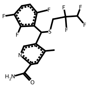 Cc1cc(C(N)=O)ncc1C(SCC(F)(F)C(F)F)c1c(F)ccc(F)c1F